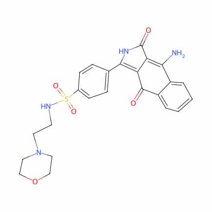 NC1=C2C(=O)NC(c3ccc(S(=O)(=O)NCCN4CCOCC4)cc3)=C2C(=O)c2ccccc21